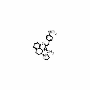 CN(C(=O)Cc1ccc([N+](=O)[O-])cc1)[C@@H]1c2ccccc2CC[C@H]1N1CCCC1